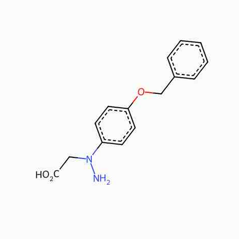 NN(CC(=O)O)c1ccc(OCc2ccccc2)cc1